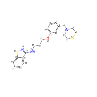 c1cc(CN2CCSCC2)cc(OCCCNc2nsc3ccccc23)c1